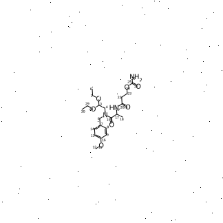 CCOC(CN(Cc1ccc(OC)cc1)C(=O)C(C)NC(=O)CCOC(N)=O)OCC